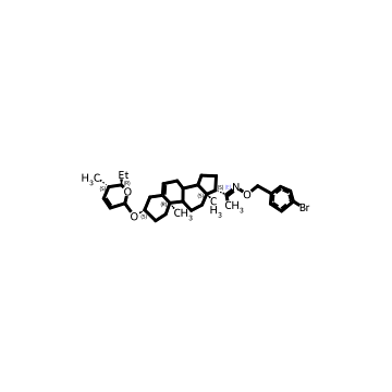 CC[C@H]1OC(O[C@H]2CC[C@@]3(C)C(=CCC4C3CC[C@@]3(C)C4CC[C@@H]3/C(C)=N/OCc3ccc(Br)cc3)C2)C=C[C@@H]1C